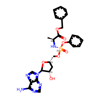 C[C@H](N[P@](=O)(OC[C@@H]1C[C@H](O)C(n2cnc3c(N)ncnc32)O1)Oc1ccccc1)C(=O)OCc1ccccc1